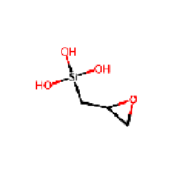 O[Si](O)(O)CC1CO1